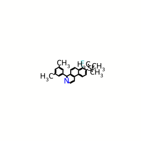 Cc1cc(C)cc(-c2nccc3c2ccc2c(F)c([Si](C)(C)C)ccc23)c1